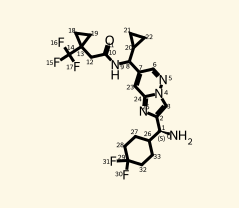 N[C@H](c1cn2ncc(C(NC(=O)CC3(C(F)(F)F)CC3)C3CC3)cc2n1)C1CCC(F)(F)CC1